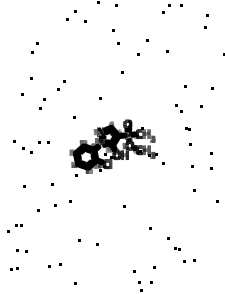 COP(C)(=O)c1cnn(-c2ccccc2Cl)c1O